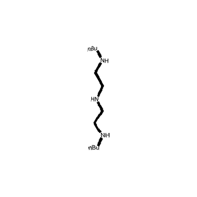 CCCCNCCNCCNCCCC